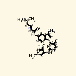 Cc1nn(C)cc1Nc1ncc(Cl)c(-n2cc(C)c3cc(NC(=O)/C=C/CN(C)C)cnc32)n1